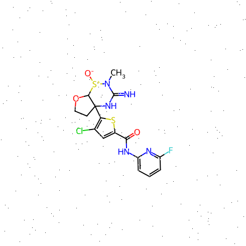 CN1C(=N)NC2(c3sc(C(=O)Nc4cccc(F)n4)cc3Cl)CCOC2[S+]1[O-]